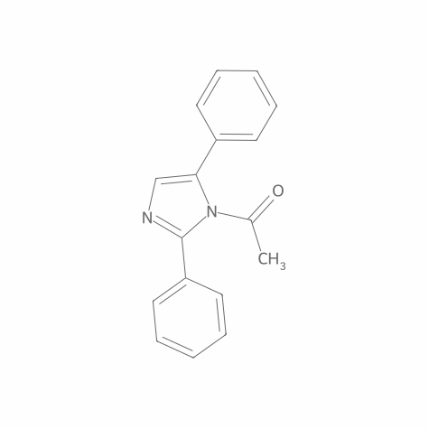 CC(=O)n1c(-c2ccccc2)cnc1-c1ccccc1